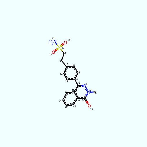 Cn1nc(-c2ccc(CCS(N)(=O)=O)cc2)c2ccccc2c1=O